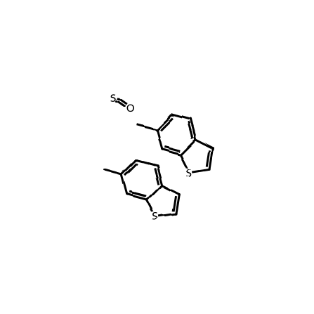 Cc1ccc2ccsc2c1.Cc1ccc2ccsc2c1.O=S